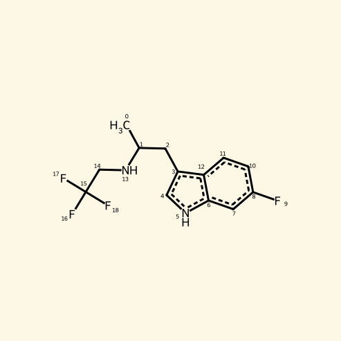 CC(Cc1c[nH]c2cc(F)ccc12)NCC(F)(F)F